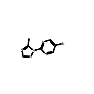 Cc1ncnn1-c1ncc(Br)cn1